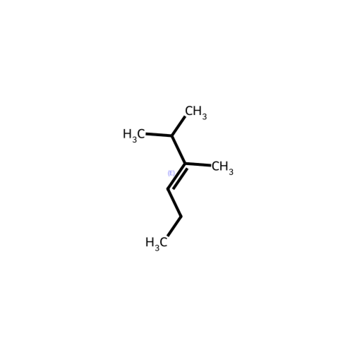 CC/C=C(\C)C(C)C